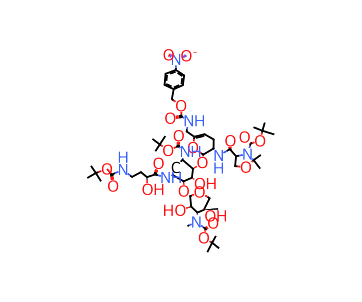 CN(C(=O)OC(C)(C)C)[C@@H]1[C@@H](O)[C@@H](O[C@@H]2[C@@H](O)[C@H](O[C@H]3OC(CNC(=O)OCc4ccc([N+](=O)[O-])cc4)=CC[C@H]3NC(=O)C3COC(C)(C)N3C(=O)OC(C)(C)C)[C@@H](NC(=O)OC(C)(C)C)C[C@H]2NC(=O)[C@@H](O)CCNC(=O)OC(C)(C)C)OC[C@]1(C)O